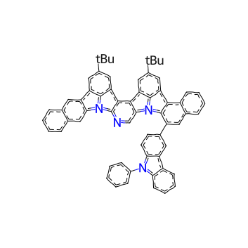 CC(C)(C)c1cc2c3cc4ccccc4cc3n3c4ncc5c(c6cc(C(C)(C)C)cc7c8c9ccccc9cc(-c9ccc%10c(c9)c9ccccc9n%10-c9ccccc9)c8n5c67)c4c(c1)c23